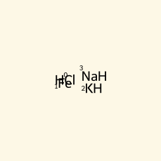 Cl.[Fe].[KH].[NaH]